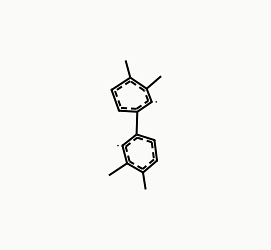 Cc1[c]c(-c2[c]c(C)c(C)cc2)ccc1C